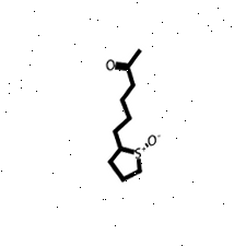 CC(=O)CCCCC1CCC[S+]1[O-]